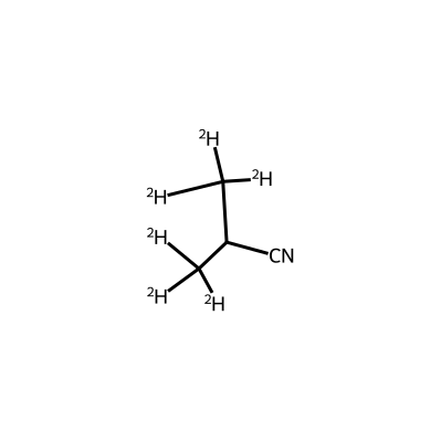 [2H]C([2H])([2H])C(C#N)C([2H])([2H])[2H]